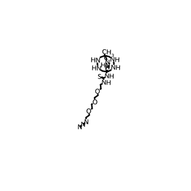 CC12CNCNCC(NC(=S)NCCOCCOCCOCCN=[N+]=[N-])(CNCNC1)CNCNC2